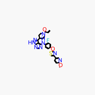 C=CC(=O)N1CCC(c2n[nH]c3ncnc(Nc4ccc(Oc5nc(-c6ccc(OC)nc6)cs5)cc4F)c23)CC1